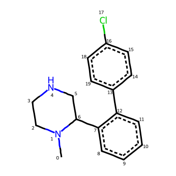 CN1CCNCC1c1ccccc1-c1ccc(Cl)cc1